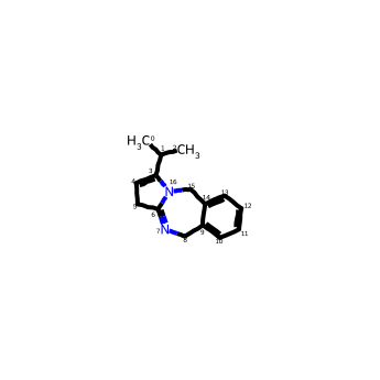 CC(C)C1=CCC2=NCc3ccccc3CN12